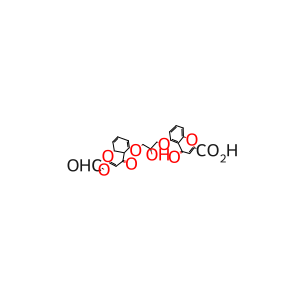 O=COC1=CC(=O)C2C(OCC(O)COc3cccc4oc(C(=O)O)cc(=O)c34)=CC=CC2O1